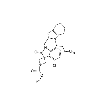 CC(C)OC(=O)N1CC2(C1)C(=O)N(Cc1cc3c(n1CCCC(F)(F)F)CCCC3)c1cccc(Cl)c12